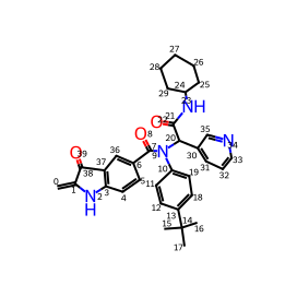 C=C1Nc2ccc(C(=O)N(c3ccc(C(C)(C)C)cc3)C(C(=O)NC3CCCCC3)c3cccnc3)cc2C1=O